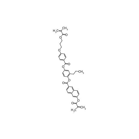 C=C(C)C(=O)OCCCOc1ccc(C(=O)Oc2ccc(OC(=O)c3ccc4cc(OC(=O)C(=C)C)ccc4c3)c(CCC)c2)cc1